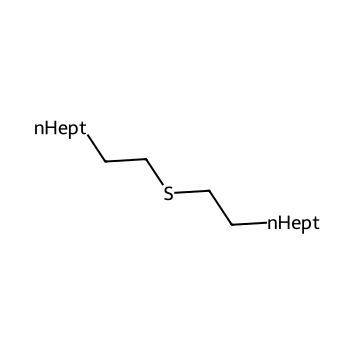 [CH2]CCCCCCCCSCCCCCCCCC